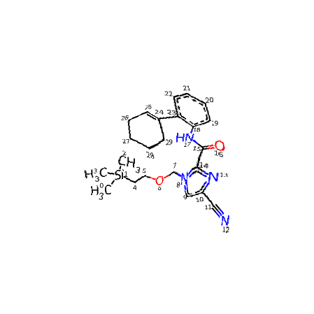 C[Si](C)(C)CCOCn1cc(C#N)nc1C(=O)Nc1ccccc1C1=CCCCC1